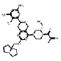 C=C(F)C(=O)N1CCN(c2nc(NCC34CCCN3CCC4)nc3c2COC(c2nc(N)cc(C)c2C(F)(F)F)C3)C[C@@H]1CC#N